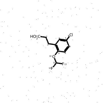 O=C(O)CCc1cc(Cl)ccc1OC(F)F